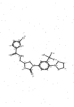 O=C(NCC1CN(c2ccc(N3CCCC3)c(C(F)(F)F)c2)C(=O)O1)c1ccc(Cl)s1